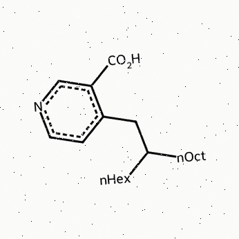 CCCCCCCCC(CCCCCC)Cc1ccncc1C(=O)O